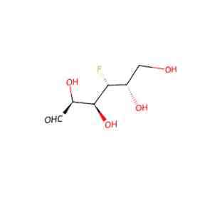 O=C[C@@H](O)[C@H](O)[C@H](F)[C@@H](O)CO